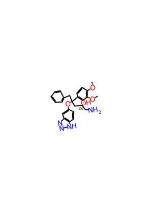 COc1ccc(C(Cc2ccccc2)(C[C@H](O)CN)Oc2ccc3[nH]nnc3c2)cc1OC